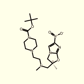 CN(CCN1CCN(C(=O)OC(C)(C)C)CC1)C[C@@]1(C)Cn2cc([N+](=O)[O-])nc2O1